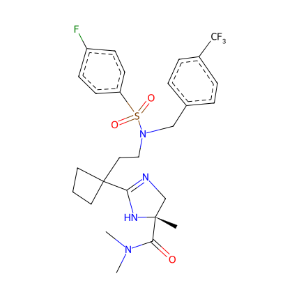 CN(C)C(=O)[C@@]1(C)CN=C(C2(CCN(Cc3ccc(C(F)(F)F)cc3)S(=O)(=O)c3ccc(F)cc3)CCC2)N1